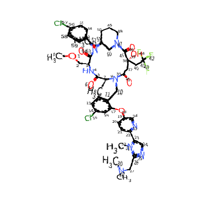 COC[C@@H]1NC(=O)[C@H](C)N(Cc2ccc(Cl)cc2Oc2ccc(-c3cnc(CN(C)C)n3C)nc2)C(=O)C[C@](O)(CC(F)(F)F)C(=O)N2CCC[C@@](Cc3ccc(Cl)cc3)(C2)N(C)C1=O